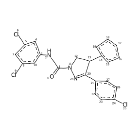 O=C(Nc1cc(Cl)cc(Cl)c1)N1CC(c2ccccc2)C(c2ccc(Cl)cc2)=N1